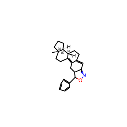 C[C@@]12CCC[C@H]1[C@@H]1CCC3=CC4=NOC(c5ccccc5)C4CC3=C1CC2